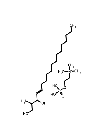 CCCCCCCCCCCCC/C=C/C(O)C(N)CO.C[N+](C)(C)CCOP(=O)(O)O